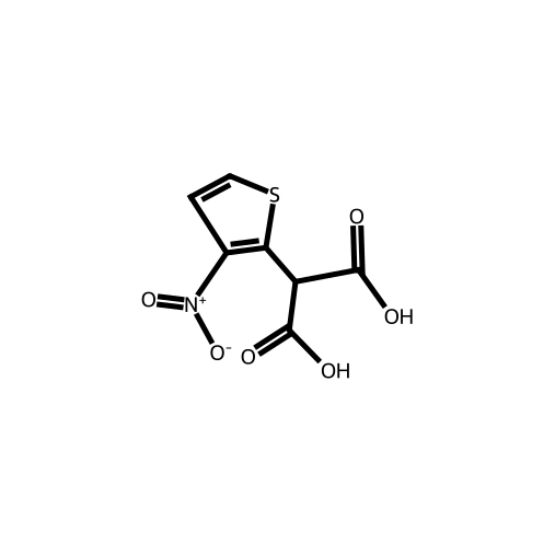 O=C(O)C(C(=O)O)c1sccc1[N+](=O)[O-]